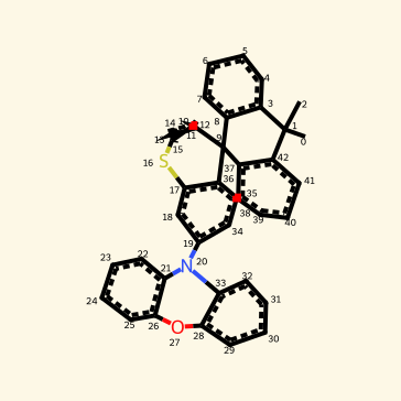 CC1(C)c2ccccc2C2(c3ccccc3Sc3cc(N4c5ccccc5Oc5ccccc54)ccc32)c2ccccc21